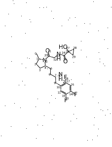 CC1CCC(CC[C@H](N)Cc2cc(F)c(F)cc2F)N1C(=O)CNC(=O)C1(O)CC1